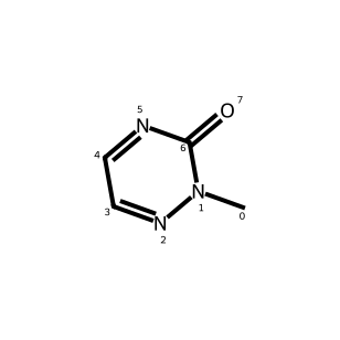 Cn1nccnc1=O